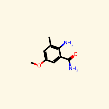 COc1cc(C)c(N)c(C(N)=O)c1